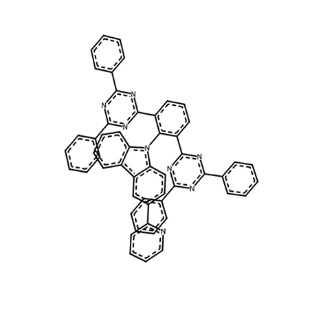 c1ccc(-c2nc(-c3ccccc3)nc(-c3cccc(-c4nc(-c5ccccc5)nc(-c5ccccc5)n4)c3-n3c4ccccc4c4cc(-c5ccccn5)ccc43)n2)cc1